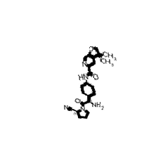 CC1(C)COc2cnc(C(=O)N[C@H]3CC[C@H]([C@H](N)C(=O)N4CCC[C@H]4C#N)CC3)cc21